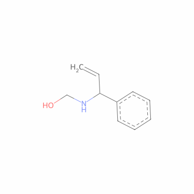 C=CC(NCO)c1ccccc1